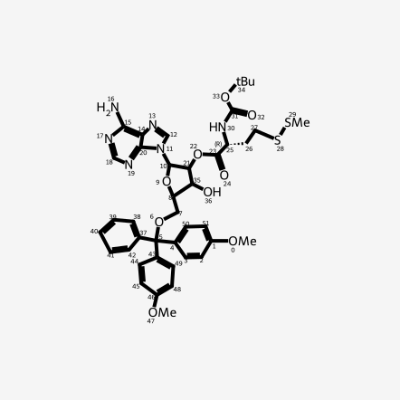 COc1ccc(C(OCC2OC(n3cnc4c(N)ncnc43)C(OC(=O)[C@@H](CCSSC)NC(=O)OC(C)(C)C)C2O)(c2ccccc2)c2ccc(OC)cc2)cc1